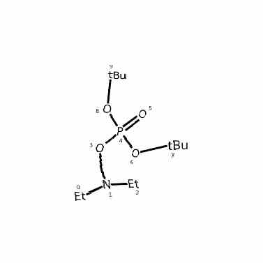 CCN(CC)OP(=O)(OC(C)(C)C)OC(C)(C)C